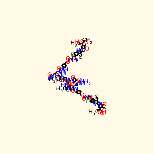 C=C1OCc2c(cc3n(c2=O)Cc2c-3nc3cc(F)c(OCNC(=O)OCc4ccc(NC(=O)[C@H](CCCNC(N)=O)NC(=O)[C@@H](NC(=O)CN(CCN5C(=O)C=CC5=O)CC(=O)N[C@H](C(=O)N[C@@H](CCCNC(N)=O)C(=O)Nc5ccc(COC(=O)NCOc6cc7c(CC)c8c(nc7cc6F)-c6cc7c(c(=O)n6C8)COC(=O)[C@]7(O)CC)cc5)C(C)C)C(C)C)cc4)cc3c2CC)[C@@]1(O)CC